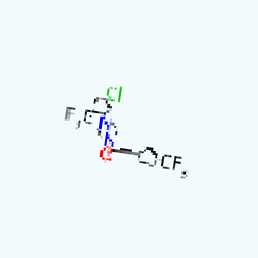 O=C(C#Cc1ccc(C(F)(F)F)cc1)N1CCN(c2cc(Cl)ccc2C(F)(F)F)CC1